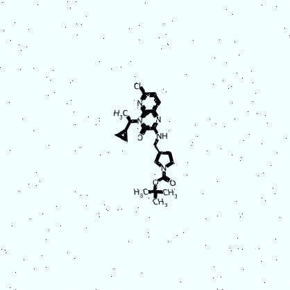 CC(C1CC1)n1c(=O)c(NC[C@H]2CCN(C(=O)OC(C)(C)C)C2)nc2ccc(Cl)nc21